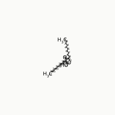 CCCCCCCCCCC(CO)C(=O)C(CO)CCCCCCCCCC